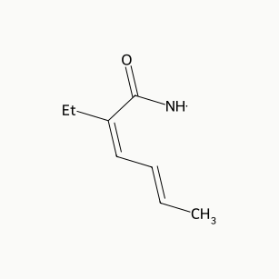 CC=CC=C(CC)C([NH])=O